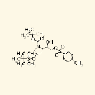 Cc1ccc(S(=O)(=O)OC[C@H](O)[C@@H]2C[C@@H](O[Si](C)(C)C(C)(C)C)CN2C(=O)OC(C)(C)C)cc1